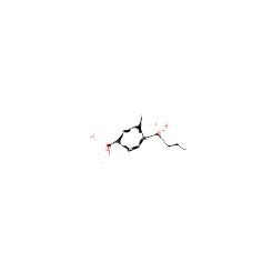 CCCC(=O)c1ccc(C(=O)OC)cc1C